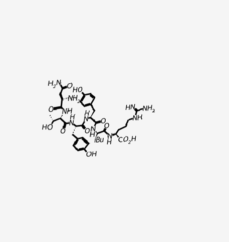 CC[C@H](C)[C@H](NC(=O)[C@H](Cc1ccc(O)cc1)NC(=O)[C@H](Cc1ccc(O)cc1)NC(=O)[C@@H](NC(=O)[C@@H](N)CC(N)=O)[C@@H](C)O)C(=O)N[C@@H](CCCNC(=N)N)C(=O)O